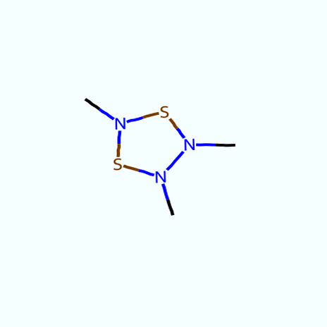 Cn1sn(C)n(C)s1